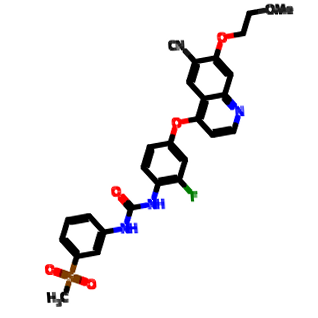 [C-]#[N+]c1cc2c(Oc3ccc(NC(=O)Nc4cccc(S(C)(=O)=O)c4)c(F)c3)ccnc2cc1OCCOC